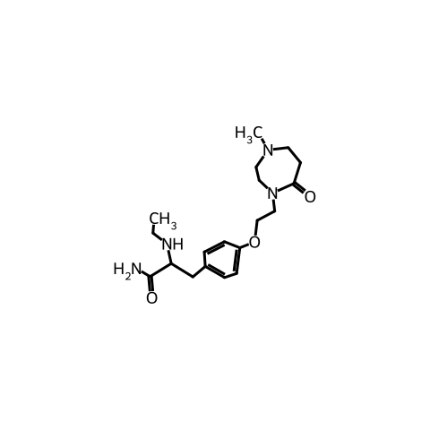 CCNC(Cc1ccc(OCCN2CCN(C)CCC2=O)cc1)C(N)=O